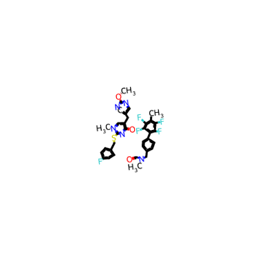 COc1ncc(Cc2cn(C)c(SCc3ccc(F)cc3)nc2=O)cn1.Cc1c(F)c(F)c(-c2ccc(CN(C)C=O)cc2)c(F)c1F